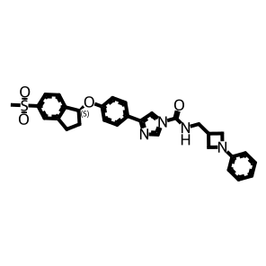 CS(=O)(=O)c1ccc2c(c1)CC[C@@H]2Oc1ccc(-c2cn(C(=O)NCC3CN(c4ccccc4)C3)cn2)cc1